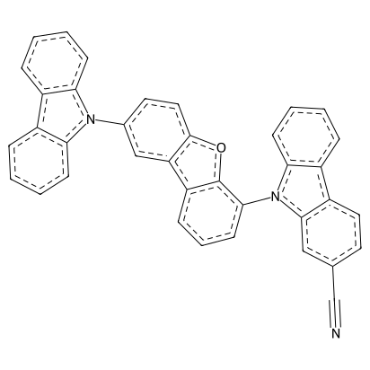 N#Cc1ccc2c3ccccc3n(-c3cccc4c3oc3ccc(-n5c6ccccc6c6ccccc65)cc34)c2c1